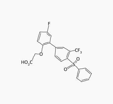 O=C(O)COc1ccc(F)cc1-c1ccc(S(=O)(=O)c2ccccc2)c(C(F)(F)F)c1